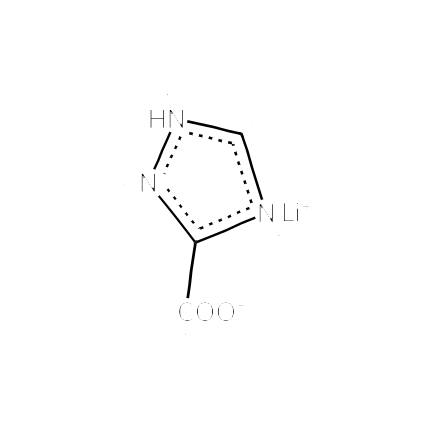 O=C([O-])c1nc[nH]n1.[Li+]